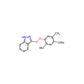 CSc1cc(C(C)(C)C)c(OCc2n[nH]c3ccccc23)cc1C